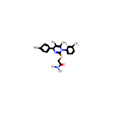 CCN(CC)C(=O)CSC1=NC(c2ccc(C#N)cc2)C(C(C)=O)=C(C)N1c1cccc(C(F)(F)F)c1